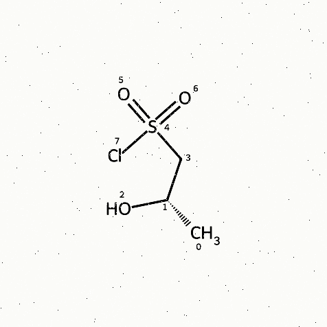 C[C@H](O)CS(=O)(=O)Cl